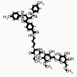 CCOC(=O)[C@@H](CCCCNC(=O)c1ccc(C(=O)C(CS(=O)(=O)c2ccc(C)cc2)CS(=O)(=O)c2ccc(C)cc2)cc1)NC(=O)OC1C(O)[C@H](OC)OC(CO[C@@H]2OC(COC)[C@H](O)C(O)C2O)[C@@H]1O